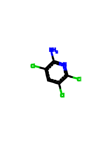 Nc1nc(Cl)c(Cl)cc1Cl